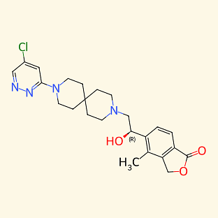 Cc1c([C@@H](O)CN2CCC3(CC2)CCN(c2cc(Cl)cnn2)CC3)ccc2c1COC2=O